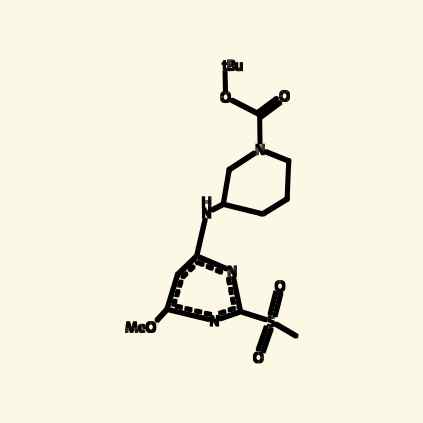 COc1cc(NC2CCCN(C(=O)OC(C)(C)C)C2)nc(S(C)(=O)=O)n1